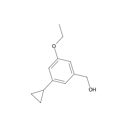 CCOc1cc(CO)cc(C2CC2)c1